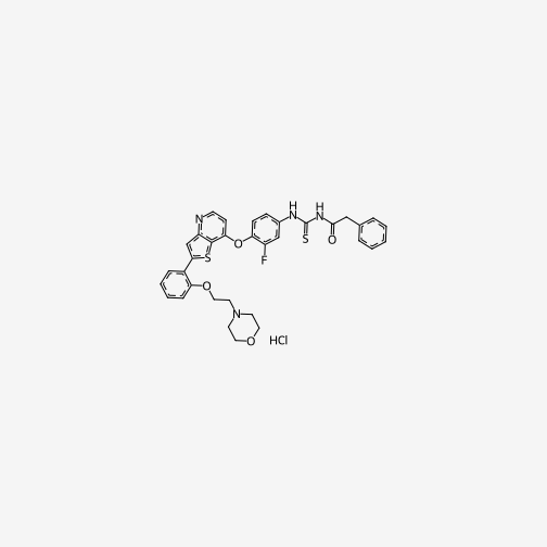 Cl.O=C(Cc1ccccc1)NC(=S)Nc1ccc(Oc2ccnc3cc(-c4ccccc4OCCN4CCOCC4)sc23)c(F)c1